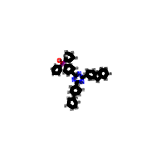 O=P(c1ccccc1)(c1ccccc1)c1ccc(-c2nc(-c3ccc(-c4ccccc4)cc3)nc(-c3ccc4c(c3)Cc3ccccc3-4)n2)cc1